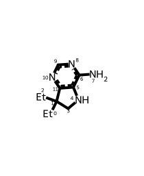 CCC1(CC)CNc2c(N)ncnc21